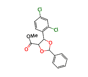 COC(=O)C1OC(c2ccccc2)OC1c1ccc(Cl)cc1Cl